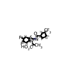 CC(C(=O)O)n1/c(=N/C(=O)c2cccc(C(F)(F)F)c2)sc2cc(F)c(F)cc21